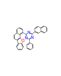 c1ccc(-c2nc(-c3ccc4ccccc4c3)nc(-c3cccc4ccc5c6ccccc6oc5c34)n2)cc1